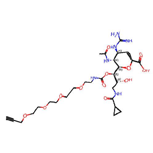 C#CCOCCOCCOCCOCCNC(=O)O[C@@H]([C@@H]1OC(C(=O)O)=C[C@H](NC(=N)N)[C@H]1NC(C)=O)[C@H](O)CNC(=O)C1CC1